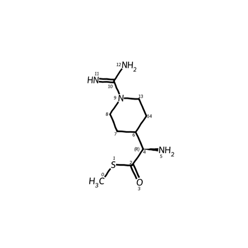 CSC(=O)[C@H](N)C1CCN(C(=N)N)CC1